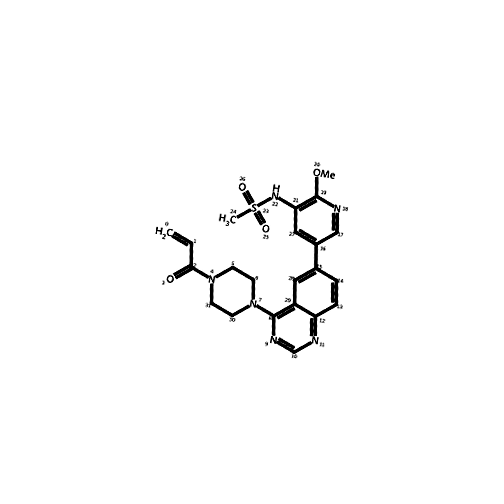 C=CC(=O)N1CCN(c2ncnc3ccc(-c4cnc(OC)c(NS(C)(=O)=O)c4)cc23)CC1